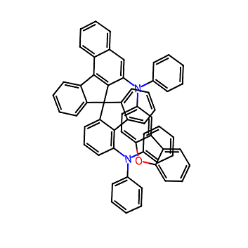 c1ccc(N(c2ccccc2)c2cccc3c2-c2ccccc2C32c3ccccc3-c3c2c(N(c2ccccc2)c2ccc4oc5ccccc5c4c2)cc2ccccc32)cc1